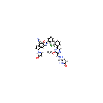 COc1nc(-c2cccc(-c3cccc(-c4nc5cc6c(c(C#N)c5o4)CC[C@H]6N4CC[C@@H](O)C4)c3Cl)c2Cl)cnc1CNC[C@@H]1CCC(=O)N1